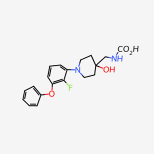 O=C(O)NCC1(O)CCN(c2cccc(Oc3ccccc3)c2F)CC1